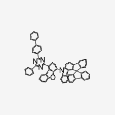 c1ccc(-c2ccc(-c3nc(-c4ccccc4)nc(-c4ccc(-n5c6ccccc6c6c7c(ccc65)-c5ccccc5C75c6ccccc6-c6ccccc65)c5oc6ccccc6c45)n3)cc2)cc1